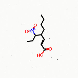 CCCCC(C=CC(=O)O)C(CC)[N+](=O)[O-]